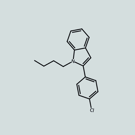 CCCCn1c(-c2ccc(Cl)cc2)cc2ccccc21